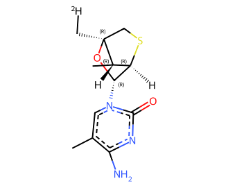 [2H]C[C@@]12CS[C@@H]([C@H](n3cc(C)c(N)nc3=O)O1)[C@@H]2C